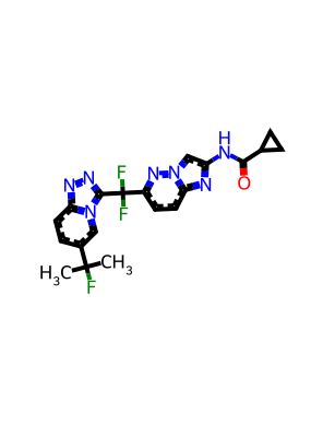 CC(C)(F)c1ccc2nnc(C(F)(F)c3ccc4nc(NC(=O)C5CC5)cn4n3)n2c1